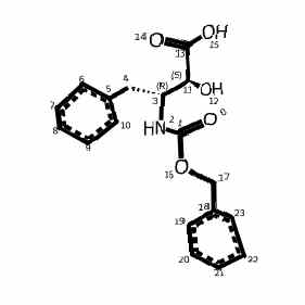 O=C(N[C@H](Cc1ccccc1)[C@H](O)C(=O)O)OCc1ccccc1